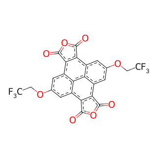 O=c1oc(=O)c2c3cc(OCC(F)(F)F)cc4c5c(=O)oc(=O)c5c5cc(OCC(F)(F)F)cc(c12)c5c34